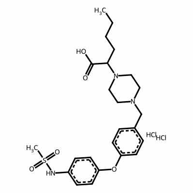 CCCCC(C(=O)O)N1CCN(Cc2ccc(Oc3ccc(NS(C)(=O)=O)cc3)cc2)CC1.Cl.Cl